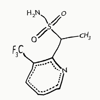 CC(c1ncccc1C(F)(F)F)S(N)(=O)=O